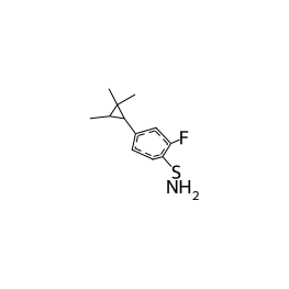 CC1C(c2ccc(SN)c(F)c2)C1(C)C